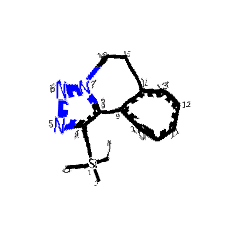 C[Si](C)(C)c1nnn2c1-c1ccccc1CC2